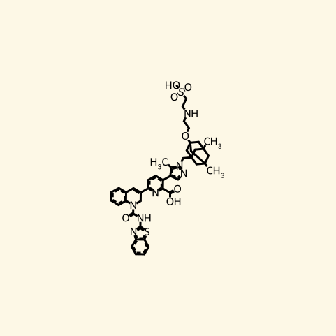 Cc1c(-c2ccc(C3=Cc4ccccc4N(C(=O)Nc4nc5ccccc5s4)C3)nc2C(=O)O)cnn1CC12CC3(C)CC(C)(C1)CC(OCCNCCS(=O)(=O)O)(C3)C2